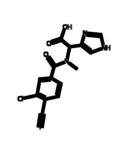 [C]#Cc1ccc(C(=O)N(C)C(C(=O)O)c2c[nH]cn2)cc1Cl